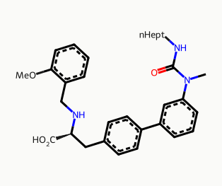 CCCCCCCNC(=O)N(C)c1cccc(-c2ccc(C[C@H](NCc3ccccc3OC)C(=O)O)cc2)c1